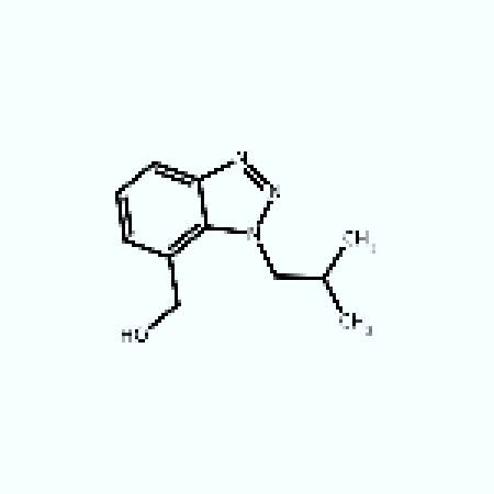 CC(C)Cn1nnc2cccc(CO)c21